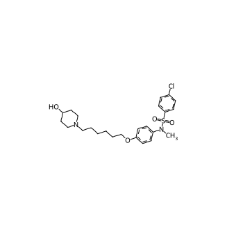 CN(c1ccc(OCCCCCCN2CCC(O)CC2)cc1)S(=O)(=O)c1ccc(Cl)cc1